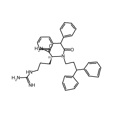 N=C(N)NCCC[C@@H](C(N)=O)N(CCC(c1ccccc1)c1ccccc1)C(=O)C(c1ccccc1)c1ccccc1